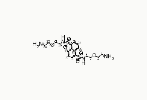 NCCOCCNS(=O)(=O)c1cccc2c(S(=O)(=O)NCCOCCN)cccc12